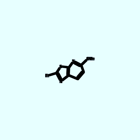 CCc1nc2ccc(OC)nc2s1